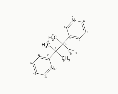 CC(C)(c1cccnc1)C(C)(C)c1ccccn1